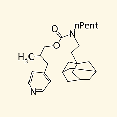 CCCCCN(CCC12CC3CC(CC(C3)C1)C2)C(=O)OCC(C)Cc1ccncc1